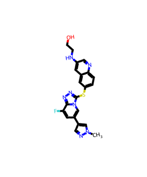 Cn1cc(-c2cc(F)c3nnc(Sc4ccc5ncc(NCCO)cc5c4)n3c2)cn1